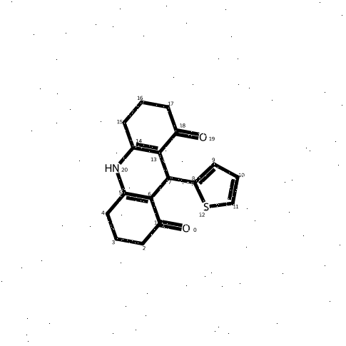 O=C1CCCC2=C1C(c1cccs1)C1=C(CCCC1=O)N2